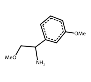 COCC(N)c1cccc(OC)c1